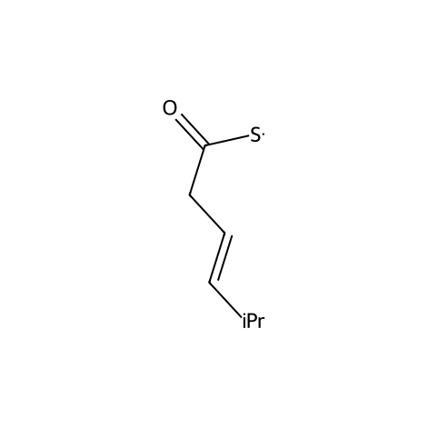 CC(C)C=CCC(=O)[S]